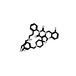 O=C(O)CCCNCCc1ccccc1-n1c(=O)c2c(n(Cc3c(F)cccc3F)c1=O)COC21CCN(Cc2cccc(Cl)c2)CC1